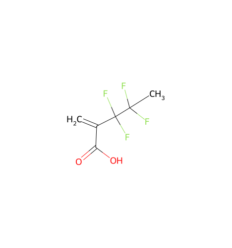 C=C(C(=O)O)C(F)(F)C(C)(F)F